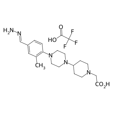 Cc1cc(C=NN)ccc1N1CCN(C2CCN(CC(=O)O)CC2)CC1.O=C(O)C(F)(F)F